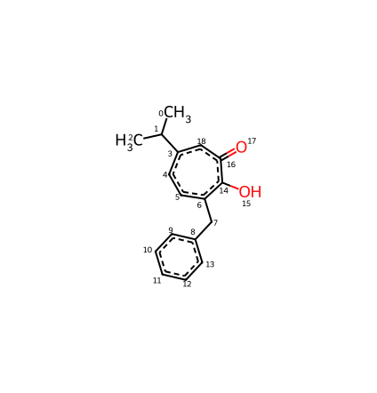 CC(C)c1ccc(Cc2ccccc2)c(O)c(=O)c1